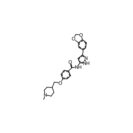 CN1CCC(COc2ccc(C(=O)Nc3cc(-c4ccc5c(c4)OCO5)n[nH]3)cc2)CC1